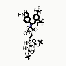 CC(C)(C)OC(=O)NC(NOCCN1C(=O)S/C(=C(/Cc2ccc(C(F)(F)F)cc2C(F)(F)F)c2ccc3[nH]ncc3c2)C1=O)NC(=O)OC(C)(C)C